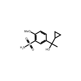 COc1ccc(C(C)(O)C2CC2)cc1S(N)(=O)=O